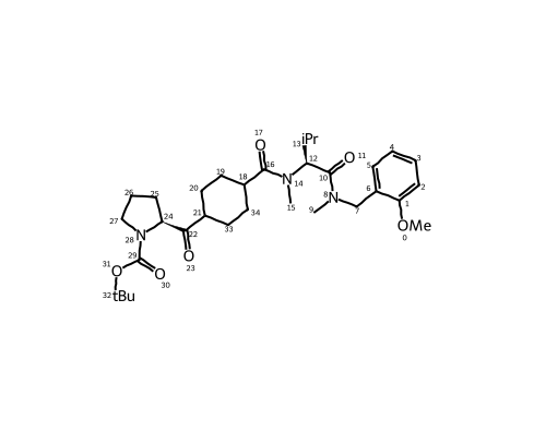 COc1ccccc1CN(C)C(=O)[C@H](C(C)C)N(C)C(=O)C1CCC(C(=O)[C@@H]2CCCN2C(=O)OC(C)(C)C)CC1